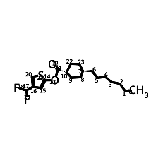 CCCCCCC[C@H]1CC[C@H](C(=O)Oc2cc(C(F)F)cs2)CC1